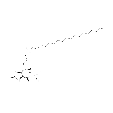 CCCCCCCCCCCCCCCOCCS(=O)(=O)CCCn1c2c(c(=O)n(P(=O)=O)c1=O)=NC(=O)N=2